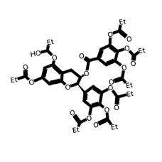 CCC(=O)Oc1cc(OC(O)CC)c2c(c1)O[C@H](c1cc(OC(=O)CC)c(OC(=O)CC)c(OC(=O)CC)c1)[C@H](OC(=O)c1cc(OC(=O)CC)c(OC(=O)CC)c(OC(=O)CC)c1)C2